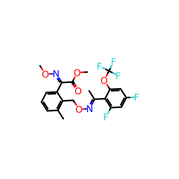 CO/N=C(/C(=O)OC)c1cccc(C)c1CO/N=C(\C)c1c(F)cc(F)cc1OC(F)(F)F